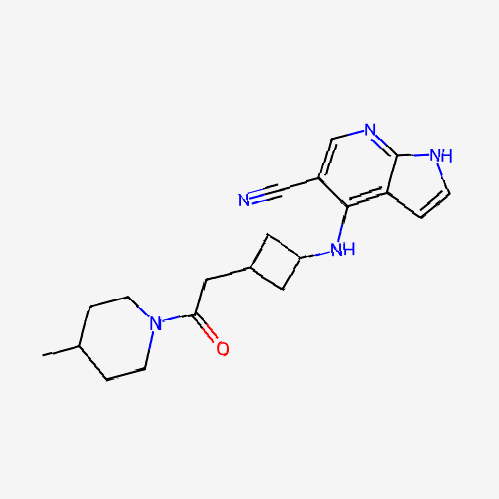 CC1CCN(C(=O)CC2CC(Nc3c(C#N)cnc4[nH]ccc34)C2)CC1